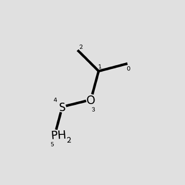 CC(C)OSP